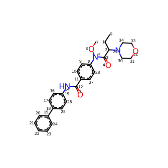 CCC(C(=O)N(OC)c1ccc(C(=O)Nc2ccc(-c3ccccc3)cc2)cc1)N1CCOCC1